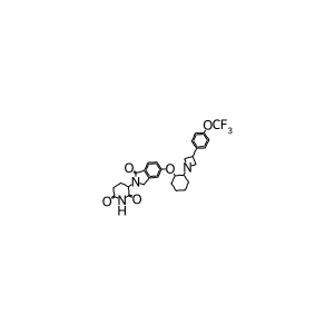 O=C1CCC(N2Cc3cc(OC4CCCCC4N4CC(c5ccc(OC(F)(F)F)cc5)C4)ccc3C2=O)C(=O)N1